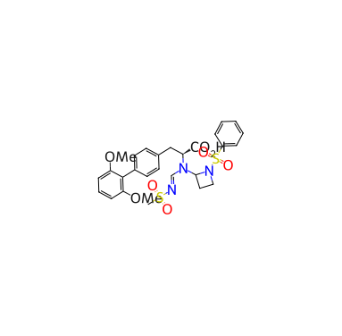 COc1cccc(OC)c1-c1ccc(C[C@@H](C(=O)O)N(C=NS(C)(=O)=O)C2CCN2S(=O)(=O)c2ccccc2)cc1